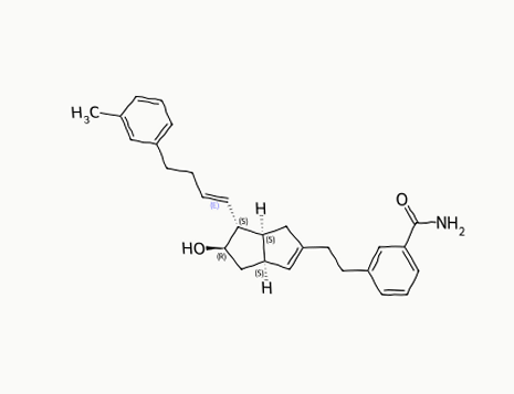 Cc1cccc(CC/C=C/[C@@H]2[C@H]3CC(CCc4cccc(C(N)=O)c4)=C[C@H]3C[C@H]2O)c1